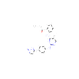 CNC(=O)c1ccccc1Nc1nc(Nc2ccc(-c3ccn(C)n3)cc2)ncc1C(F)(F)F